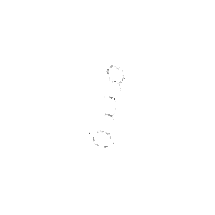 O=C(OC(=O)Oc1cnccn1)Oc1cnccn1